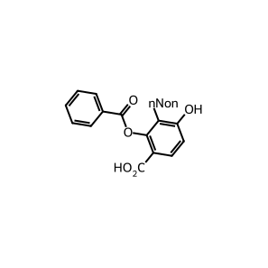 CCCCCCCCCc1c(O)ccc(C(=O)O)c1OC(=O)c1ccccc1